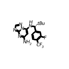 CC(C)(C)[C@@H](Nc1cc(N)nc2ncnn12)c1ccc(C(F)(F)F)c(F)c1